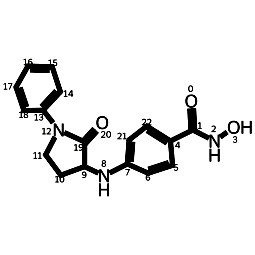 O=C(NO)c1ccc(NC2CCN(c3ccccc3)C2=O)cc1